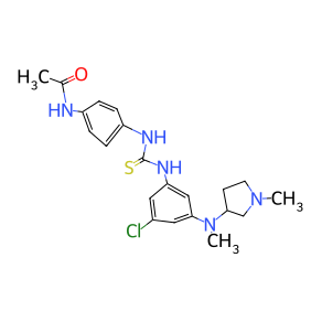 CC(=O)Nc1ccc(NC(=S)Nc2cc(Cl)cc(N(C)C3CCN(C)C3)c2)cc1